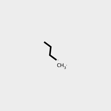 [CH2]CCC.[CH3]